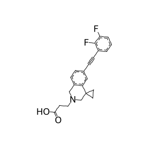 O=C(O)CCN1Cc2ccc(C#Cc3cccc(F)c3F)cc2C2(CC2)C1